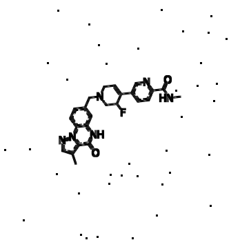 CNC(=O)c1ccc(C2=CCN(Cc3ccc4c(c3)[nH]c(=O)c3c(C)cnn34)CC2F)cn1